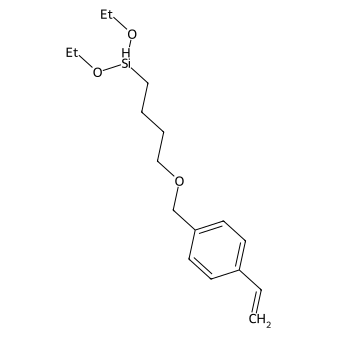 C=Cc1ccc(COCCCC[SiH](OCC)OCC)cc1